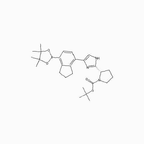 CC(C)(C)OC(=O)N1CCC[C@H]1c1nc(-c2ccc(B3OC(C)(C)C(C)(C)O3)c3c2CCC3)c[nH]1